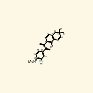 C=C(C(=C)c1ccc2c(c1C)C=CC(C)(C)C2)c1ccc(NC)c(F)c1